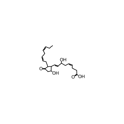 CC/C=C\C/C=C\CC1C(=O)CC(O)C1/C=C/C(O)C/C=C\CCC(=O)O